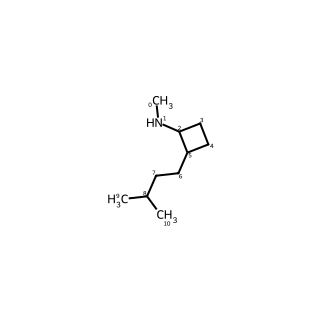 CNC1CCC1CCC(C)C